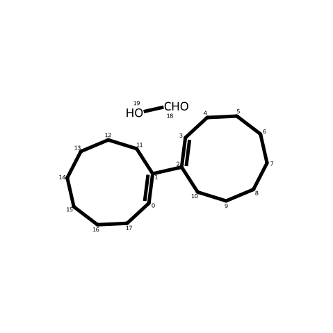 C1=C(C2=CCCCCCCC2)CCCCCCC1.O=CO